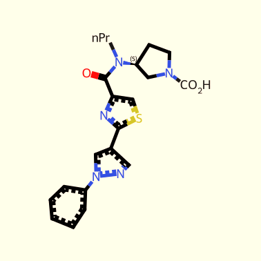 CCCN(C(=O)c1csc(-c2cnn(-c3ccccc3)c2)n1)[C@H]1CCN(C(=O)O)C1